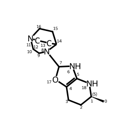 C[C@H]1CCC2=C(NC(N3CCN4CCC3CC4)O2)N1